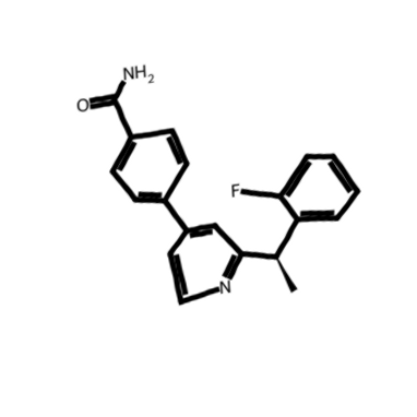 C[C@@H](c1cc(-c2ccc(C(N)=O)cc2)ccn1)c1ccccc1F